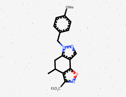 CCOC(=O)c1noc2c1C(C)Cc1c-2cnn1Cc1ccc(OC)cc1